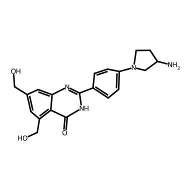 NC1CCN(c2ccc(-c3nc4cc(CO)cc(CO)c4c(=O)[nH]3)cc2)C1